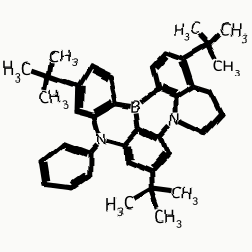 CC(C)(C)c1ccc2c(c1)N(c1ccccc1)c1cc(C(C)(C)C)cc3c1B2c1ccc(C(C)(C)C)c2c1N3CCC2